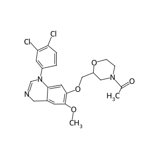 COc1cc2c(cc1OCC1CN(C(C)=O)CCO1)N(c1ccc(Cl)c(Cl)c1)C=NC2